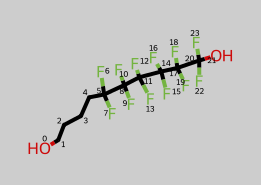 OCCCCC(F)(F)C(F)(F)C(F)(F)C(F)(F)C(F)(F)C(O)(F)F